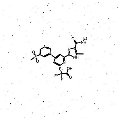 CCNC(=O)c1nc(-c2cc(-c3cncc(S(C)(=O)=O)c3)ccn2)[nH]c1C.O=C(O)C(F)(F)F